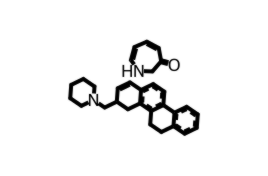 C1=CC(CN2CCCCC2)Cc2c1ccc1c2CCc2ccccc2-1.O=C1C=CC=CNC1